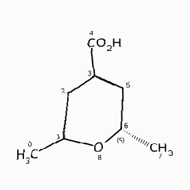 CC1CC(C(=O)O)C[C@H](C)O1